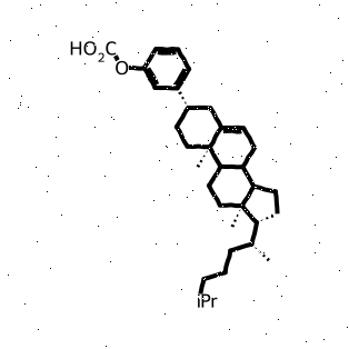 CC(C)CCC[C@@H](C)[C@H]1CCC2C3CC=C4C[C@@H](c5cccc(OC(=O)O)c5)CC[C@]4(C)C3CC[C@@]21C